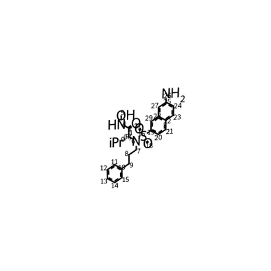 CC(C)[C@H](C(=O)NO)N(CCCc1ccccc1)S(=O)(=O)c1ccc2ccc(N)cc2c1